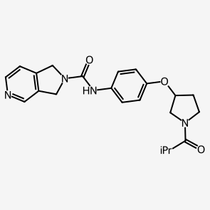 CC(C)C(=O)N1CCC(Oc2ccc(NC(=O)N3Cc4ccncc4C3)cc2)C1